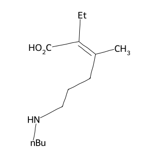 CCCCNCCCC(C)=C(CC)C(=O)O